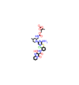 Cc1oc(=O)oc1COC(=O)NCC1CC(C)CCN1c1cnc(Sc2cccc(NC(=O)c3c(O)nc4ccccn4c3=O)c2Cl)c(N)n1